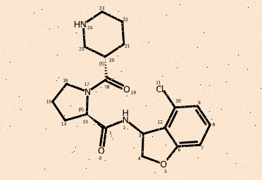 O=C(NC1COc2cccc(Cl)c21)[C@H]1CCCN1C(=O)[C@H]1CCCNC1